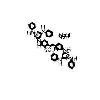 O=S(=O)(O)c1cc(NC2=CC(Nc3ccccc3)=CN(Nc3ccccc3)S2)ccc1C=Cc1ccc(NC2=CC(Nc3ccccc3)=CN(Nc3ccccc3)S2)cc1.[NaH].[NaH]